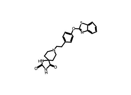 O=C1NC(=O)C2(CCN(CCc3ccc(Oc4nc5ccccc5s4)cc3)CC2)N1